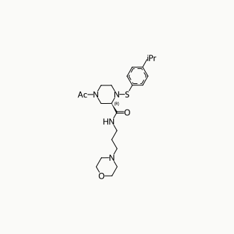 CC(=O)N1CCN(Sc2ccc(C(C)C)cc2)[C@@H](C(=O)NCCCN2CCOCC2)C1